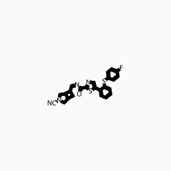 N#CN1CC2CC(/C=N\C(=O)c3ncc(-c4ccccc4Sc4ccc(F)cc4)s3)C2C1